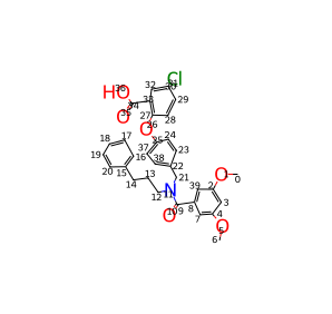 COc1cc(OC)cc(C(=O)N(CCCc2ccccc2)Cc2ccc(Oc3ccc(Cl)cc3C(=O)O)cc2)c1